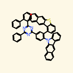 c1ccc(-c2nc(-c3ccc(-n4c5ccccc5c5cc6ccccc6cc54)c(-c4cccc5sc6cc7ccccc7cc6c45)c3)nc(-c3ccccc3-c3ccccc3)n2)cc1